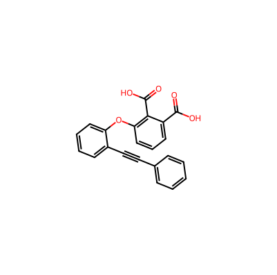 O=C(O)c1cccc(Oc2ccccc2C#Cc2ccccc2)c1C(=O)O